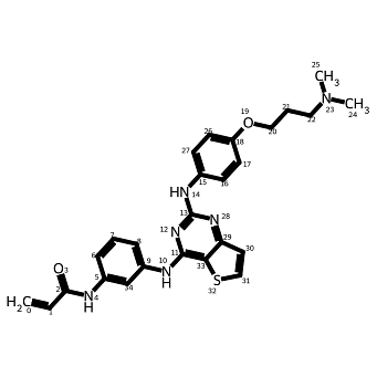 C=CC(=O)Nc1cccc(Nc2nc(Nc3ccc(OCCCN(C)C)cc3)nc3ccsc23)c1